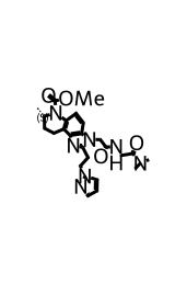 COC(=O)N1c2ccc3c(nc(CCn4cccn4)n3CC(=O)NCC(=O)N(C)C)c2CC[C@@H]1C